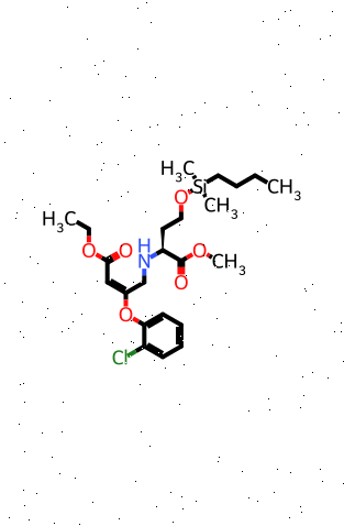 CCCC[Si](C)(C)OCC[C@H](NCC(=CC(=O)OCC)Oc1ccccc1Cl)C(=O)OC